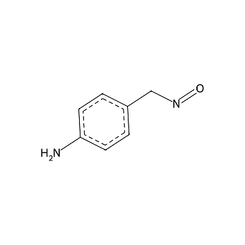 Nc1ccc(CN=O)cc1